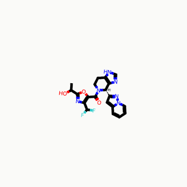 CC(O)c1nc(C(F)F)c(C(=O)N2CCc3[nH]cnc3[C@@H]2c2cc3ccccn3n2)o1